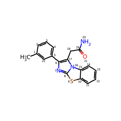 Cc1cccc(-c2nc3sc4ccccc4n3c2CC(N)=O)c1